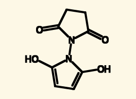 O=C1CCC(=O)N1n1c(O)ccc1O